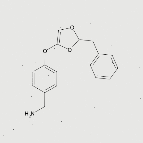 NCc1ccc(OC2=COC(Cc3ccccc3)O2)cc1